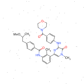 COC(C)Cc1ccc(C(=O)Nc2cccc(-c3cn(C)c(=O)c(Nc4ccc(C(=O)N5CCOCC5)cc4)n3)c2C)cc1